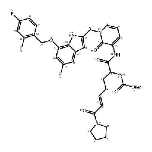 COC(=O)NC(CC/C=C/C(=O)N1CCCC1)C(=O)Nc1cccn(Cc2cc3cc(F)cc(OCc4ccc(F)cc4F)c3[nH]2)c1=O